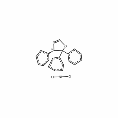 C1=N[C@H](c2ccccc2)C(c2ccccc2)(c2ccccc2)O1.[Cl][Ni][Cl]